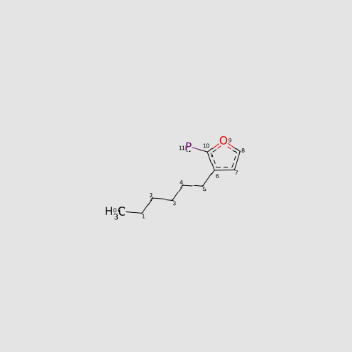 CCCCCCc1ccoc1[P]